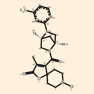 CCN1CCC2(CC1)OC(=O)C(C)=C2C(=O)N1C[C@@H]2C[C@H]1CN2c1nccc(C(F)(F)F)n1